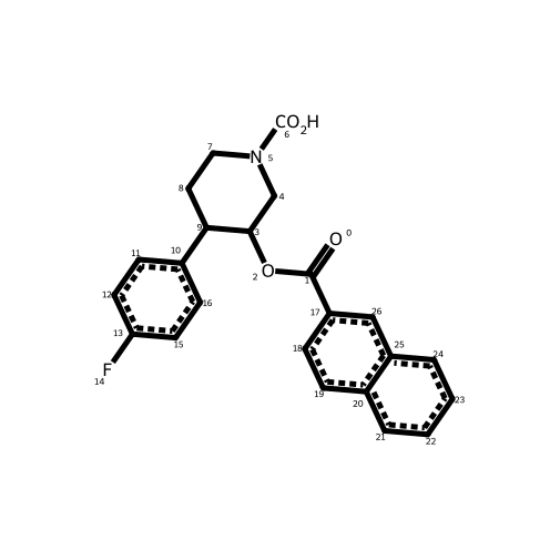 O=C(OC1CN(C(=O)O)CCC1c1ccc(F)cc1)c1ccc2ccccc2c1